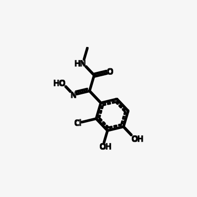 CNC(=O)C(=NO)c1ccc(O)c(O)c1Cl